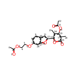 CC(=O)OCCOc1ccc2cc(-c3oc(=O)c(C)c(OC(C)=O)c3C)oc2c1